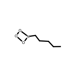 CCCCCN1OOO1